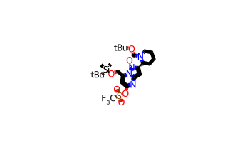 CC(C)(C)OC(=O)N1CCCC[C@H]1c1cc2nc(OS(=O)(=O)C(F)(F)F)cc(CO[Si](C)(C)C(C)(C)C)n2n1